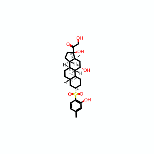 Cc1ccc(S(=O)(=O)[C@H]2CC[C@@]3(C)[C@@H](CC[C@@H]4[C@@H]3[C@@H](O)C[C@@]3(C)[C@H]4CC[C@]3(O)C(=O)CO)C2)c(O)c1